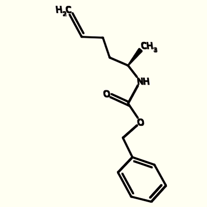 C=CCC[C@@H](C)NC(=O)OCc1ccccc1